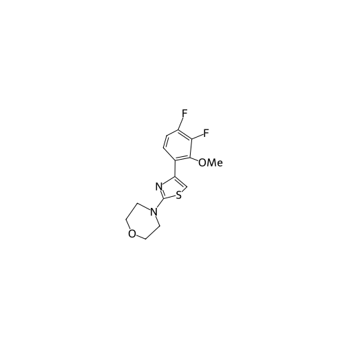 COc1c(-c2csc(N3CCOCC3)n2)ccc(F)c1F